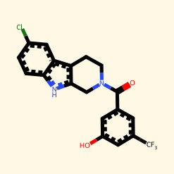 O=C(c1cc(O)cc(C(F)(F)F)c1)N1CCc2c([nH]c3ccc(Cl)cc23)C1